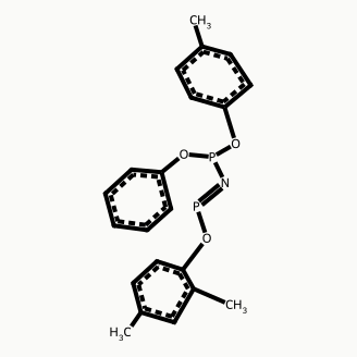 Cc1ccc(OP(N=POc2ccc(C)cc2C)Oc2ccccc2)cc1